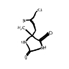 CC1(CC(Cl)Br)NC(=O)NC1=O